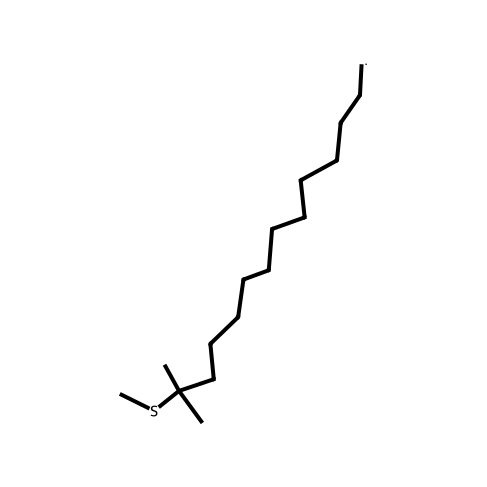 [CH2]CCCCCCCCCCCC(C)(C)SC